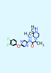 CC(C(=O)Nc1cnc(Oc2ccc(F)c(F)c2)cn1)N1CCNC(C)(C)C1